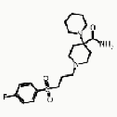 NC(=O)C1(N2CCCCC2)CCN(CCCS(=O)(=O)c2ccc(F)cc2)CC1